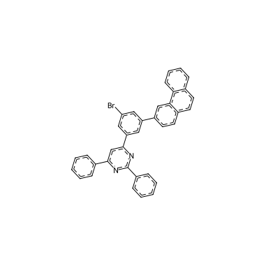 Brc1cc(-c2ccc3ccc4ccccc4c3c2)cc(-c2cc(-c3ccccc3)nc(-c3ccccc3)n2)c1